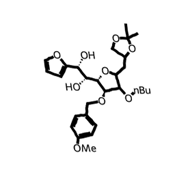 CCCCOC1C(CC2COC(C)(C)O2)O[C@@H]([C@H](O)[C@@H](O)c2ccco2)[C@@H]1OCc1ccc(OC)cc1